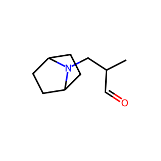 CC(C=O)CN1C2CCC1CC2